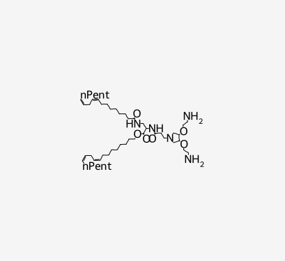 CCCCC/C=C\C/C=C\CCCCCCCCOC(=O)C(CNC(=O)CCCCCCC/C=C\C/C=C\CCCCC)NC(=O)CCN1C[C@H](OCCN)[C@H](OCCN)C1